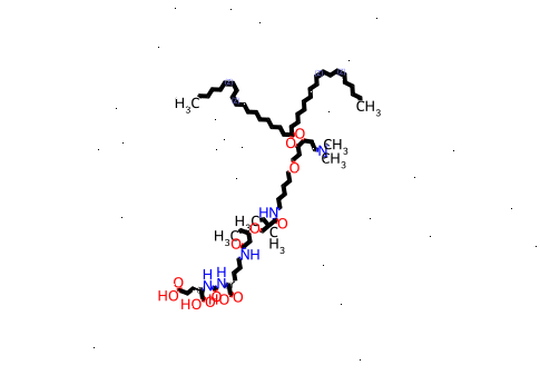 CCCCC/C=C\C/C=C\CCCCCCCCC1(CCCCCCCC/C=C\C/C=C\CCCCC)OC(CCOCCCCCCNC(=O)C(C)(CC)COC(CC)CC(=O)NCCCC[C@@H](NC(=O)N[C@H](CCC(=O)O)C(=O)O)C(=O)O)C(CCN(C)C)O1